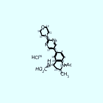 CC(=O)N1c2ccc(-c3cnc(N4CCOCC4)nc3)cc2[C@@H](NC(=O)O)C[C@H]1C.Cl